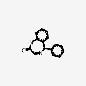 O=C1C=NC(c2ccccc2)c2ccccc2[N]1